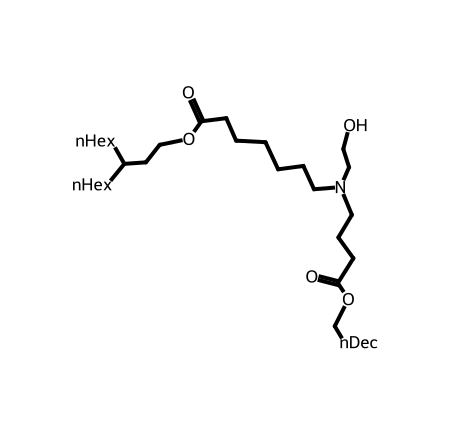 CCCCCCCCCCCOC(=O)CCCN(CCO)CCCCCCC(=O)OCCC(CCCCCC)CCCCCC